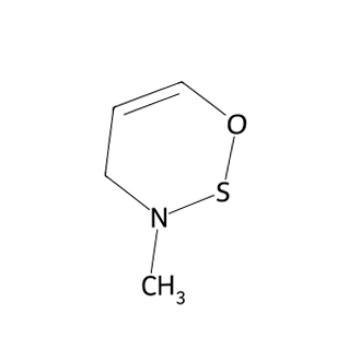 CN1CC=COS1